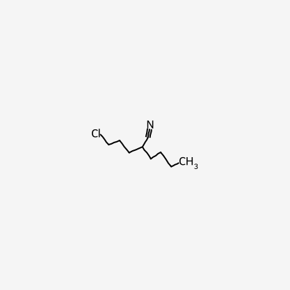 CCCCC(C#N)CCCCl